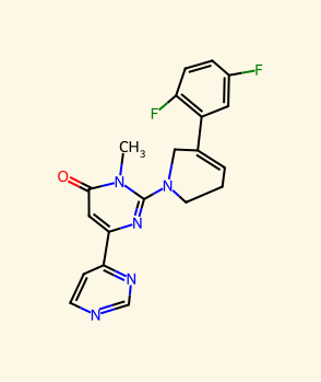 Cn1c(N2CCC=C(c3cc(F)ccc3F)C2)nc(-c2ccncn2)cc1=O